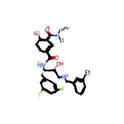 CCCN(CC)C(=O)c1cc(C(=O)N[C@@H](Cc2cc(F)cc(F)c2)[C@H](O)CNCc2cccc(CC)c2)ccc1O